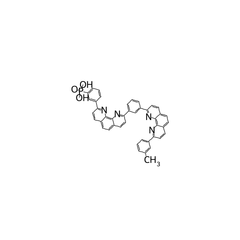 Cc1cccc(-c2ccc3ccc4ccc(-c5cccc(-c6ccc7ccc8ccc(-c9cccc(P(=O)(O)O)c9)nc8c7n6)c5)nc4c3n2)c1